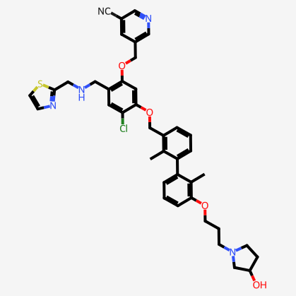 Cc1c(COc2cc(OCc3cncc(C#N)c3)c(CNCc3nccs3)cc2Cl)cccc1-c1cccc(OCCCN2CCC(O)C2)c1C